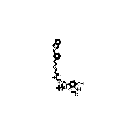 CN(CCNC[C@H](O[Si](C)(C)C(C)(C)C)c1ccc(O)c2c1OCC(=O)N2)C(=O)CCOCCc1cccc(CN2CC3CCCC3C2)c1